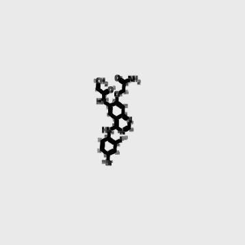 C=CC(=O)Nc1cc2c(Nc3ccc(Br)cc3F)ncnc2cc1OCC(N)=O